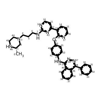 C[C@H]1CN(CCCNc2nccc(-c3cccnc3Oc3ccc(Nc4nnc(-c5ccccc5)c5ccccc45)cc3)n2)CCN1